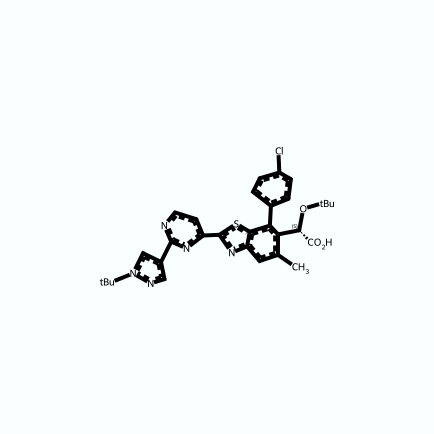 Cc1cc2nc(-c3ccnc(-c4cnn(C(C)(C)C)c4)n3)sc2c(-c2ccc(Cl)cc2)c1[C@H](OC(C)(C)C)C(=O)O